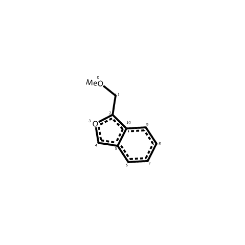 CO[CH]c1occ2ccccc12